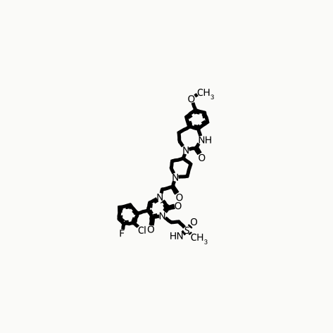 COc1ccc2c(c1)CCN(C1CCN(C(=O)Cn3cc(-c4cccc(F)c4Cl)c(=O)n(CCS(C)(=N)=O)c3=O)CC1)C(=O)N2